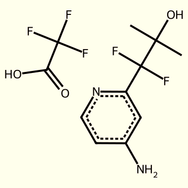 CC(C)(O)C(F)(F)c1cc(N)ccn1.O=C(O)C(F)(F)F